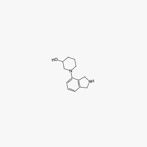 OC1CCCN(c2cccc3c2CNC3)C1